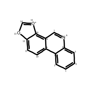 c1ccc2c(c1)ncc1c2ccc2oc[o+]c21